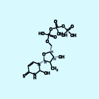 CC1[C@@H](O)[C@@H](COP(=O)(O)OP(=O)(O)OP(=O)(O)O)O[C@H]1N1C=CC(=S)NC1O